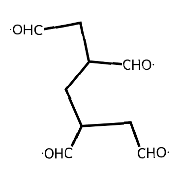 O=[C]CC([C]=O)CC([C]=O)C[C]=O